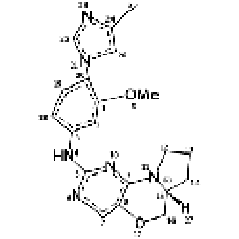 COc1cc(Nc2ncc3c(n2)N2CCC[C@@H]2CO3)ccc1-n1cnc(C)c1